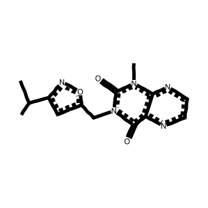 CC(C)c1cc(Cn2c(=O)c3nccnc3n(C)c2=O)on1